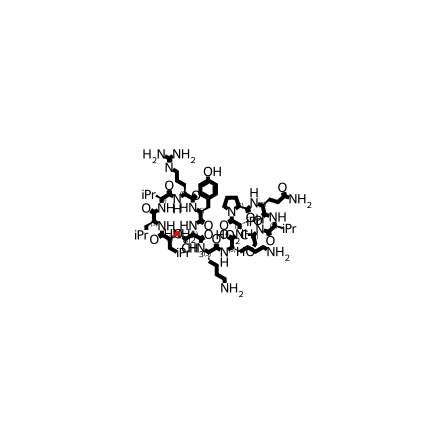 CC(C)C[C@H](NC(=O)[C@@H](N)CC(C)C)C(=O)N[C@H](C(=O)N[C@@H](CCCN=C(N)N)C(=O)N[C@@H](Cc1ccc(O)cc1)C(=O)N[C@H](C(=O)N[C@@H](CCCCN)C(=O)N[C@@H](CCCCN)C(=O)N[C@H](C(=O)N1CCC[C@H]1C(=O)N[C@@H](CCC(N)=O)C(=O)N[C@H](C(=O)N[C@@H](CO)C(=O)O)C(C)C)C(C)C)[C@@H](C)O)C(C)C